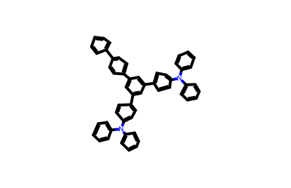 c1ccc(-c2ccc(-c3cc(-c4ccc(N(c5ccccc5)c5ccccc5)cc4)cc(-c4ccc(N(c5ccccc5)c5ccccc5)cc4)c3)cc2)cc1